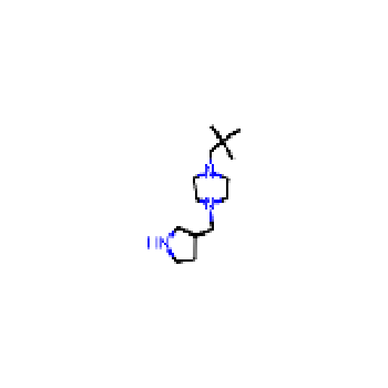 CC(C)(C)CN1CCN(CC2CCNC2)CC1